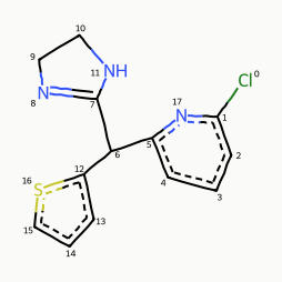 Clc1cccc(C(C2=NCCN2)c2cccs2)n1